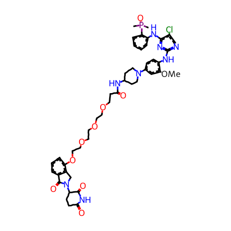 COc1cc(N2CCC(NC(=O)CCOCCOCCOCCOc3cccc4c3CN(C3CCC(=O)NC3=O)C4=O)CC2)ccc1Nc1ncc(Cl)c(Nc2ccccc2P(C)(C)=O)n1